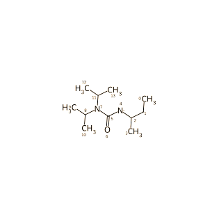 CCC(C)[N]C(=O)N(C(C)C)C(C)C